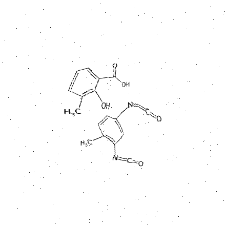 Cc1ccc(N=C=O)cc1N=C=O.Cc1cccc(C(=O)O)c1O